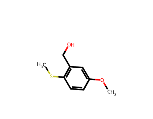 COc1ccc(SC)c([CH]O)c1